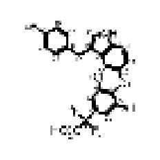 O=C(O)C(F)(F)c1cc(Cl)c(Oc2ccc3[nH]cc(Cc4ccc(F)cc4)c3c2)c(Cl)c1